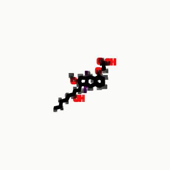 CCCCC[C@H](O)CC[C@H]1[C@H](OC)C[C@]2(I)Cc3c(cccc3OCC(=O)O)C[C@]12I